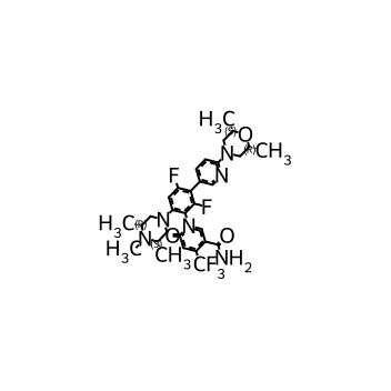 C[C@@H]1CN(c2ccc(-c3c(F)cc(N4C[C@@H](C)N(C)[C@@H](C)C4)c(-n4cc(C(N)=O)c(C(F)(F)F)cc4=O)c3F)cn2)C[C@H](C)O1